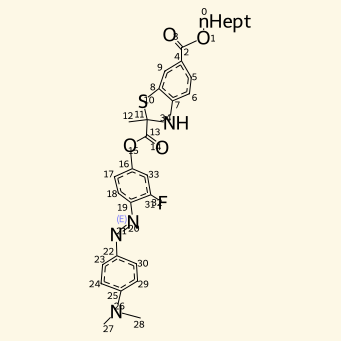 CCCCCCCOC(=O)c1ccc2c(c1)SC(C)(C(=O)Oc1ccc(/N=N/c3ccc(N(C)C)cc3)c(F)c1)N2